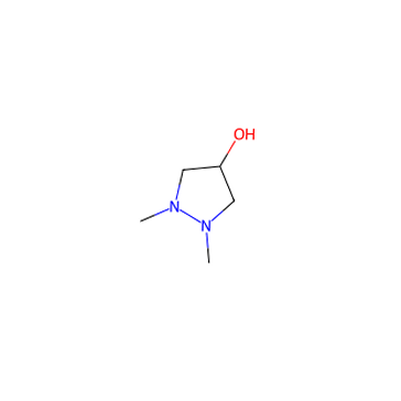 CN1CC(O)CN1C